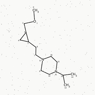 COCC1CC1CCN1CCN(C(C)C)CC1